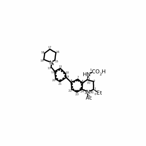 CC[C@@H]1C[C@H](NC(=O)O)c2cc(-c3ccc(CN4CCCCC4)cc3)ccc2N1C(C)=O